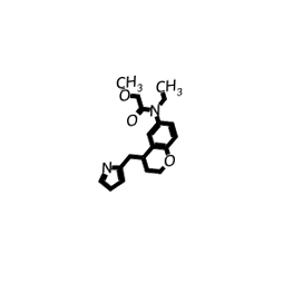 CCN(C(=O)COC)c1ccc2c(c1)C(CC1=CCC=N1)CCO2